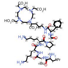 CC[C@H](C)[C@H](NC(=O)[C@@H](N)CC(C)C)C(=O)N[C@@H](CCCCN)C(=O)N[C@@H](CCCCN)C(=O)N1CCC[C@H]1C(=O)NC(Cc1ccccc1)C(=O)NCCCC(C(=O)O)N1CCN(CC(=O)O)CCN(CC(=O)O)CCN(CC(=O)O)CC1